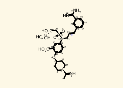 CC(=N)N1CCC(Oc2ccc(N(C/C=C/c3cccc(C(=N)N)c3)S(=O)(=O)CC(=O)O)cc2C(=O)O)CC1.Cl.Cl